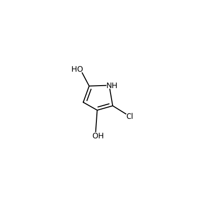 Oc1cc(O)c(Cl)[nH]1